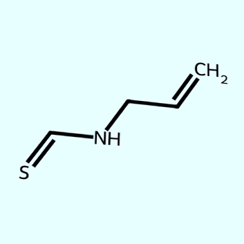 C=CCNC=S